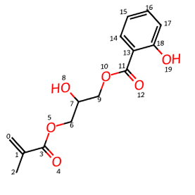 C=C(C)C(=O)OCC(O)COC(=O)c1ccccc1O